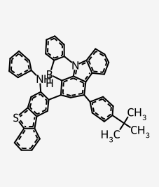 CC(C)(C)c1ccc(-c2cc(-c3cc4c(cc3Nc3ccccc3)sc3ccccc34)c3c4c2c2ccccc2n4-c2ccccc2B3)cc1